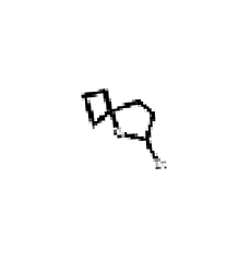 CCC1CCC2(CCC2)O1